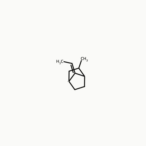 CC=C1[C]2CCC1C(C)C2